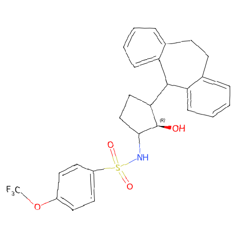 O=S(=O)(NC1CCC(C2c3ccccc3CCc3ccccc32)[C@H]1O)c1ccc(OC(F)(F)F)cc1